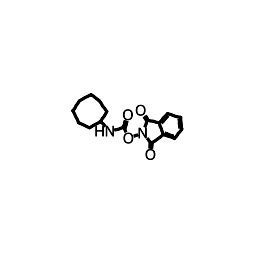 O=C(NC1CCCCCCC1)ON1C(=O)c2ccccc2C1=O